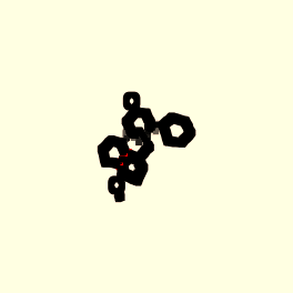 COc1ccc(CN2[C@@H](C3CCCCC3)CC(=O)C[C@H]2C2CCCCC2)cc1